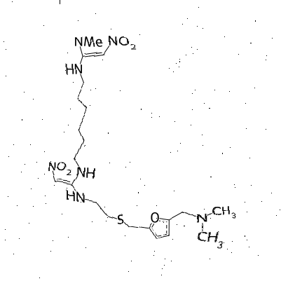 CNC(=C[N+](=O)[O-])NCCCCCCNC(=C[N+](=O)[O-])NCCSCc1ccc(CN(C)C)o1